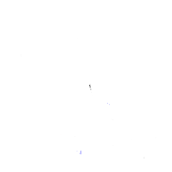 CCCC(CC)c1cccc(OC[C@H](CCC(N)=O)NC(=O)OC(C)(C)C)c1F